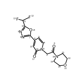 O=C(Cn1ccc(-c2nnc(C(F)F)o2)cc1=O)N1CCOCC1